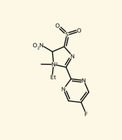 CC[N+]1(C)C(c2ncc(F)cn2)=NC(=S(=O)=O)C1[N+](=O)[O-]